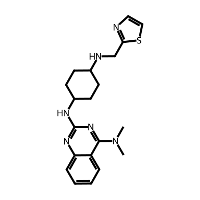 CN(C)c1nc(NC2CCC(NCc3nccs3)CC2)nc2ccccc12